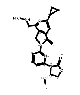 CNCc1nc(C2CC2)cc2c1CN(c1cccc(N3C(=O)OC[C@@H]3CF)n1)C2=O